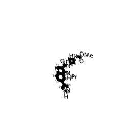 COC(=O)N[C@H]1C[C@H](NC(=O)c2cnc3ccc(-c4cn[nH]c4)cc3c2NC(C)C)C1